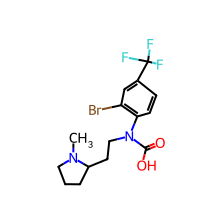 CN1CCCC1CCN(C(=O)O)c1ccc(C(F)(F)F)cc1Br